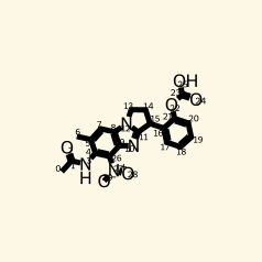 CC(=O)Nc1c(C)cc2c(nc3n2CCC3c2ccccc2OC(=O)O)c1[N+](=O)[O-]